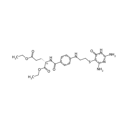 CCOC(=O)CC[C@H](NC(=O)c1ccc(NCCSc2c(N)nc(N)[nH]c2=O)cc1)C(=O)OCC